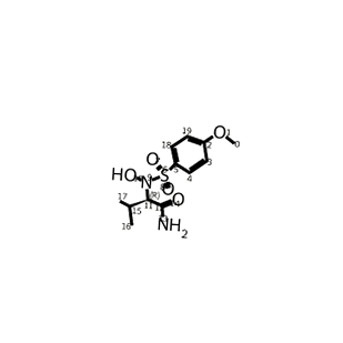 COc1ccc(S(=O)(=O)N(O)[C@@H](C(N)=O)C(C)C)cc1